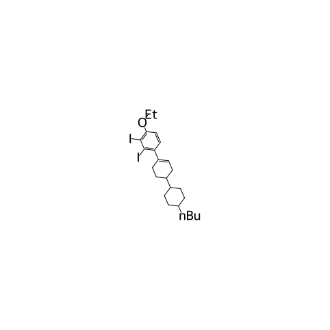 CCCCC1CCC(C2CC=C(c3ccc(OCC)c(I)c3I)CC2)CC1